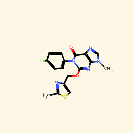 Cn1cnc2c(=O)n(-c3ccc(F)cc3)c(OCc3csc(C(F)(F)F)n3)nc21